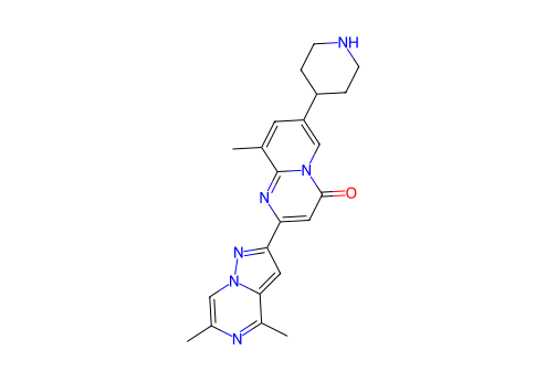 Cc1cn2nc(-c3cc(=O)n4cc(C5CCNCC5)cc(C)c4n3)cc2c(C)n1